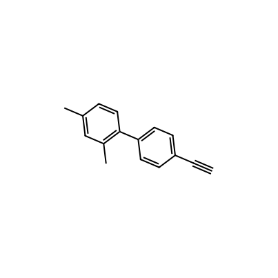 C#Cc1ccc(-c2ccc(C)cc2C)cc1